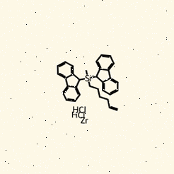 C=CCCCC[Si](C)(C1c2ccccc2-c2ccccc21)C1c2ccccc2-c2ccccc21.Cl.Cl.[Zr]